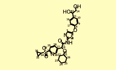 O=C(Nc1ncc(Oc2ccc(C(O)CO)cc2)s1)C(OC1CCCCC1)c1ccc(S(=O)(=O)C2CC2)nc1